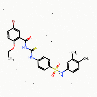 CCOc1ccc(Br)cc1C(=O)NC(=S)Nc1ccc(S(=O)(=O)Nc2ccc(C)c(C)c2)cc1